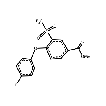 COC(=O)c1ccc(Oc2ccc(F)cc2)c(S(=O)(=O)C(F)(F)F)c1